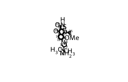 COc1c(N2CC[C@H](C(C)(C)N)C2)ccc2c(=O)c3c(=O)[nH]sc3n(C3CC3)c12